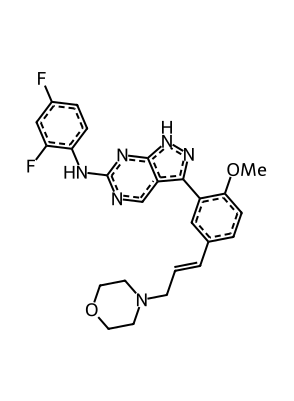 COc1ccc(C=CCN2CCOCC2)cc1-c1n[nH]c2nc(Nc3ccc(F)cc3F)ncc12